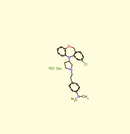 CN(C)c1ccc(CCN2CCC(N3c4cc(Cl)ccc4COc4ccccc43)C2)cc1.Cl.Cl